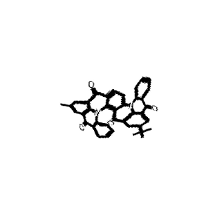 Cc1cc2c(=O)c3ccccc3n3c2c(c1)c(=O)c1ccc2c(c(=O)c4cc(C(C)(C)C)cc5c(=O)c6ccccc6n2c54)c13